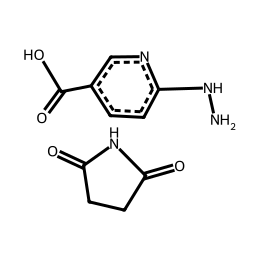 NNc1ccc(C(=O)O)cn1.O=C1CCC(=O)N1